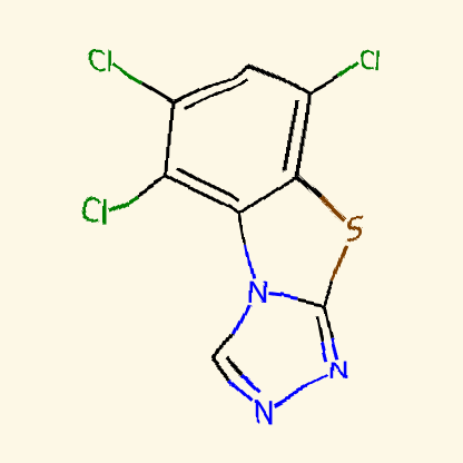 Clc1cc(Cl)c2sc3nncn3c2c1Cl